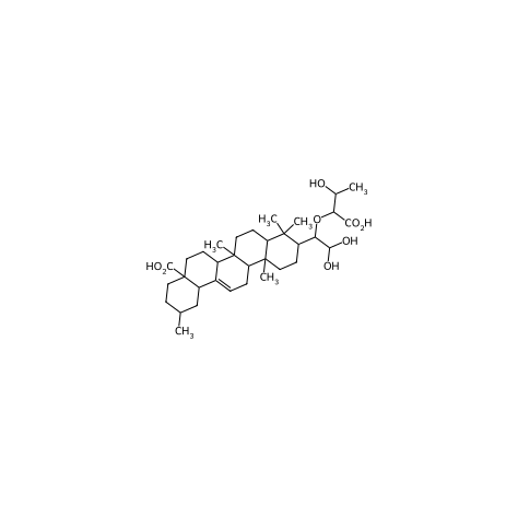 CC1CCC2(C(=O)O)CCC3C(=CCC4C3(C)CCC3C(C)(C)C(C(OC(C(=O)O)C(C)O)C(O)O)CCC34C)C2C1